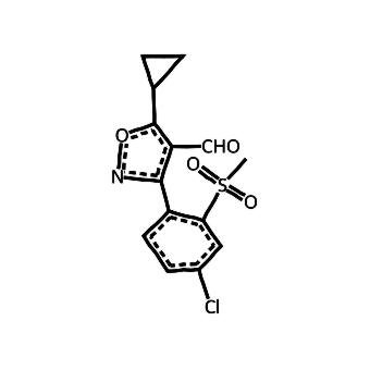 CS(=O)(=O)c1cc(Cl)ccc1-c1noc(C2CC2)c1C=O